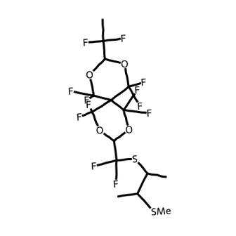 CSC(C)C(C)SC(F)(F)C1OC(F)(F)C2(C(F)(F)OC(C(C)(F)F)OC2(F)F)C(F)(F)O1